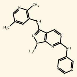 Cc1cnc(C)c(Nc2nn(C)c3nc(Nc4cncnc4)ncc23)c1